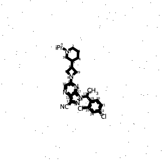 CC(C)N1CCCC(C2CN(c3cnc4c(C#N)nn(C(C)c5ccc(Cl)cc5Cl)c4n3)C2)C1